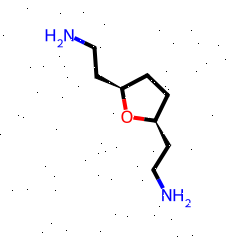 NCC[C@@H]1CC[C@H](CCN)O1